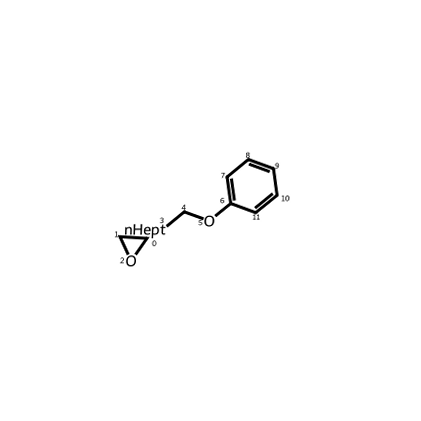 C1CO1.CCCCCCCCOc1ccccc1